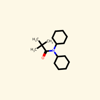 CC(C)(C)C(=O)N(C1CCCCC1)C1CCCCC1